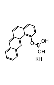 OB(O)Oc1cccc2ccc3cc4ccccc4cc3c12.[KH]